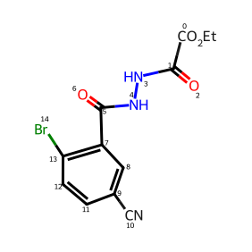 CCOC(=O)C(=O)NNC(=O)c1cc(C#N)ccc1Br